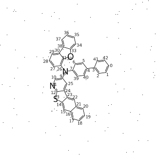 c1ccc(-c2ccc(N(c3cnc4sc5cc6ccccc6cc5c4c3)c3cccc4c3oc3ccccc34)cc2)cc1